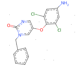 Nc1cc(Cl)c(Oc2cnc(=O)n(Cc3ccccc3)c2)c(Cl)c1